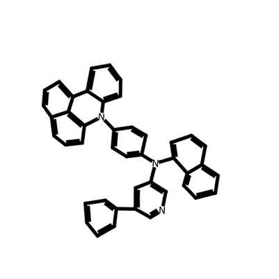 c1ccc(-c2cncc(N(c3ccc(N4c5ccccc5-c5cccc6cccc4c56)cc3)c3cccc4ccccc34)c2)cc1